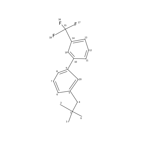 CC(C)(C)Cc1cccc(-c2cccc(C(F)(F)F)c2)c1